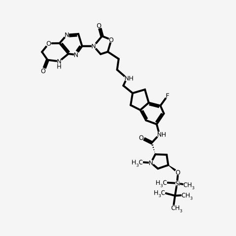 CN1C[C@H](O[Si](C)(C)C(C)(C)C)C[C@H]1C(=O)Nc1cc(F)c2c(c1)CC(CNCCC1CN(c3cnc4c(n3)NC(=O)CO4)C(=O)O1)C2